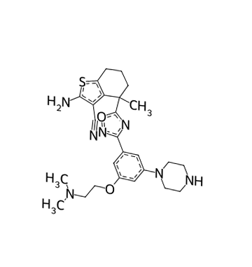 CN(C)CCOc1cc(-c2noc(C3(C)CCCc4sc(N)c(C#N)c43)n2)cc(N2CCNCC2)c1